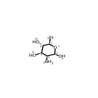 CC[C@H]1O[C@@H](O)[C@@H](N)[C@@H](O)[C@@H]1O